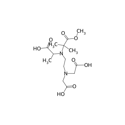 COC(=O)C(C)(C)N(CCN(CC(=O)O)CC(=O)O)C(C)C(=O)O